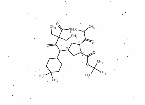 CCC(CC)(C(N)=O)C(=O)N(C1CCC(C)(C)CC1)[C@H]1C[C@@H](C(=O)N(C)C)N(C(=O)OC(C)(C)C)C1